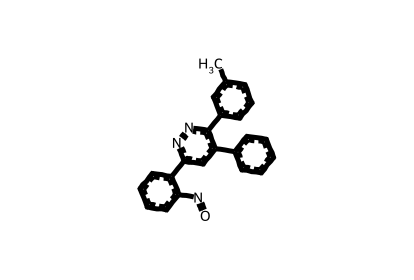 Cc1cccc(-c2nnc(-c3ccccc3N=O)cc2-c2ccccc2)c1